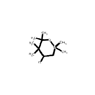 CC1(C)O[Si](C)(C)CC(Cl)C1(C)C